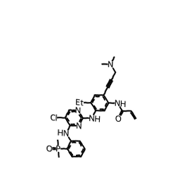 C=CC(=O)Nc1cc(Nc2ncc(Cl)c(Nc3ccccc3P(C)(C)=O)n2)c(CC)cc1C#CCN(C)C